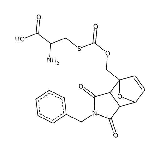 NC(CSC(=O)OCC12C=CC(O1)C1C(=O)N(Cc3ccccc3)C(=O)C12)C(=O)O